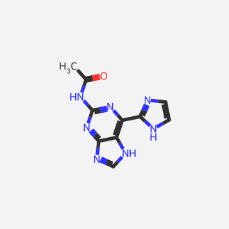 CC(=O)Nc1nc(-c2ncc[nH]2)c2[nH]cnc2n1